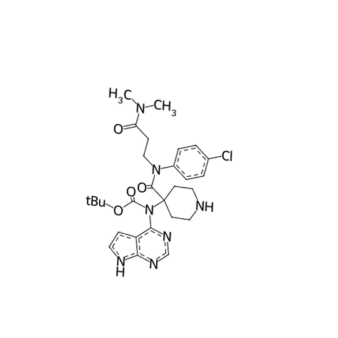 CN(C)C(=O)CCN(C(=O)C1(N(C(=O)OC(C)(C)C)c2ncnc3[nH]ccc23)CCNCC1)c1ccc(Cl)cc1